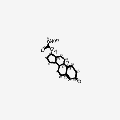 CCCCCCCCCC(=O)O[C@H]1CCC2C3CCC4=CC(=O)CC[C@]4(C)C3CC[C@@]21C